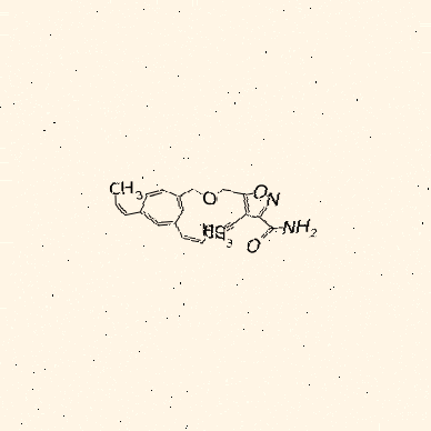 C#Cc1c(C(N)=O)noc1COCC1=CC(/C=C\C)=C=C(/C=C\C)C=C1